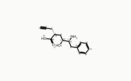 C#CC[C@H](C[C@H](O)[C@@H](N)Cc1ccccc1)C(=O)O